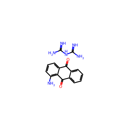 N=C(N)NC(=N)N.Nc1cccc2c1C(=O)c1ccccc1C2=O